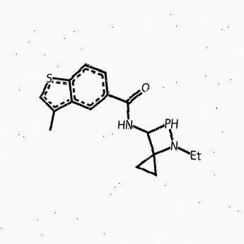 CCN1PC(NC(=O)c2ccc3scc(C)c3c2)C12CC2